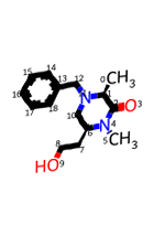 C[C@H]1C(=O)N(C)[C@@H](CCO)CN1Cc1ccccc1